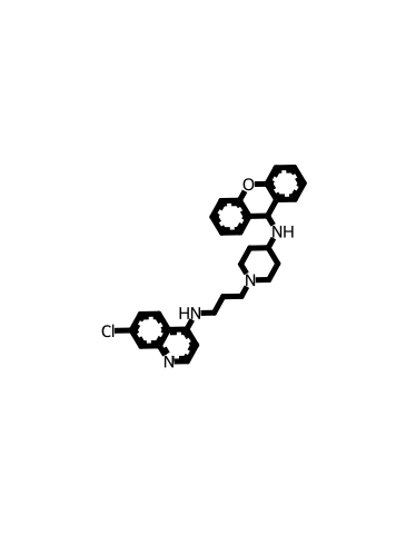 Clc1ccc2c(NCCCN3CCC(NC4c5ccccc5Oc5ccccc54)CC3)ccnc2c1